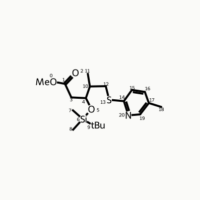 COC(=O)CC(O[Si](C)(C)C(C)(C)C)C(C)CSc1ccc(C)cn1